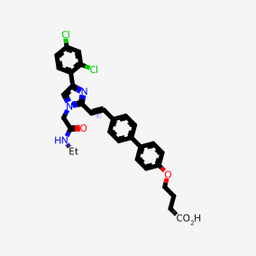 CCNC(=O)Cn1cc(-c2ccc(Cl)cc2Cl)nc1/C=C/c1ccc(-c2ccc(OCCCC(=O)O)cc2)cc1